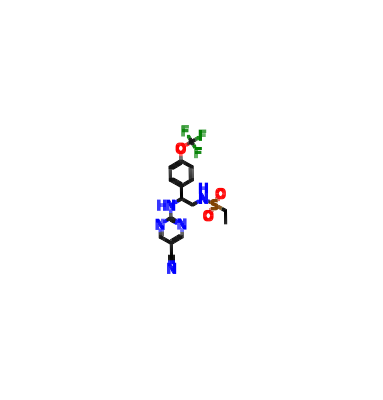 CCS(=O)(=O)NCC(Nc1ncc(C#N)cn1)c1ccc(OC(F)(F)F)cc1